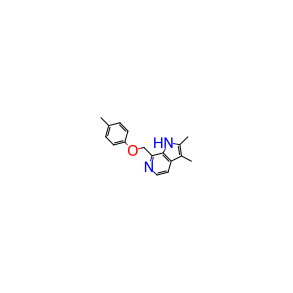 Cc1ccc(OCc2nccc3c(C)c(C)[nH]c23)cc1